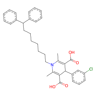 CC1=C(C(=O)O)C(c2cccc(Cl)c2)C(C(=O)O)=C(C)N1CCCCCCCC(c1ccccc1)c1ccccc1